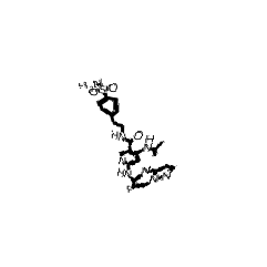 CC(C)Nc1cc(Nc2nc3ccnn3cc2F)ncc1C(=O)NCCc1ccc(S(N)(=O)=O)cc1